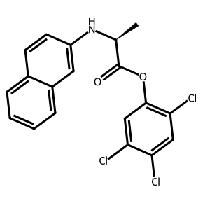 C[C@H](Nc1ccc2ccccc2c1)C(=O)Oc1cc(Cl)c(Cl)cc1Cl